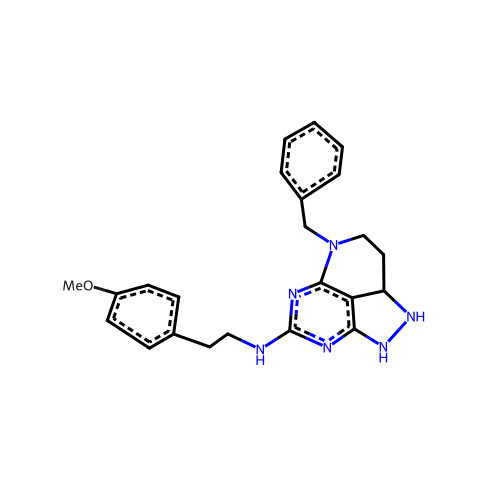 COc1ccc(CCNc2nc3c4c(n2)N(Cc2ccccc2)CCC4NN3)cc1